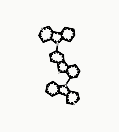 c1cc(-n2c3ccccc3c3cnccc32)c2oc3ccc(-n4c5ccccc5c5cnccc54)cc3c2c1